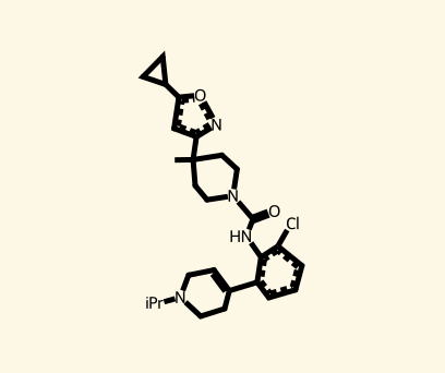 CC(C)N1CC=C(c2cccc(Cl)c2NC(=O)N2CCC(C)(c3cc(C4CC4)on3)CC2)CC1